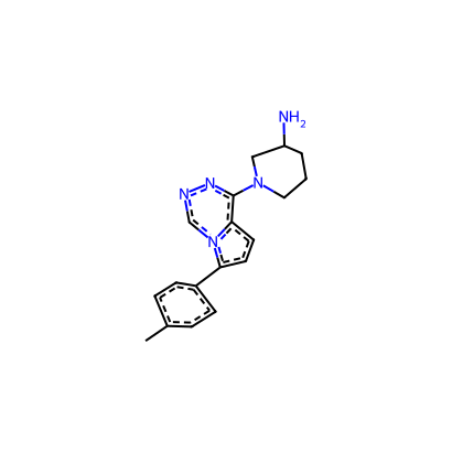 Cc1ccc(-c2ccc3c(N4CCCC(N)C4)nncn23)cc1